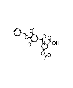 COc1cc(C(=O)N2C[C@H](OC(C)=O)C[C@H]2C(=O)O)cc(OC)c1OCc1ccccc1